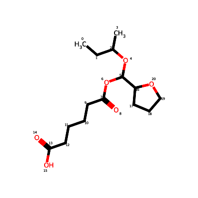 CCC(C)OC(OC(=O)CCCCC(=O)O)C1CCCO1